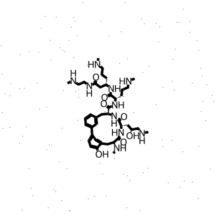 CNCCC[C@@H](CC(=O)NCCNC)NC(=O)[C@H](CCCNC)NC(=O)[C@@H]1Cc2cccc(c2)-c2ccc(O)c(c2)C[C@H](NC)C(=O)N[C@@H](C[C@@H](O)CNC)C(=O)N1